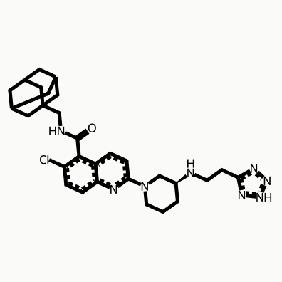 O=C(NCC12CC3CC(CC(C3)C1)C2)c1c(Cl)ccc2nc(N3CCC[C@H](NCCc4nn[nH]n4)C3)ccc12